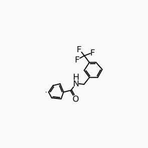 O=C(NCc1cccc(C(F)(F)F)c1)c1cc[c]cc1